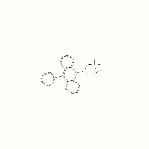 CC1(C)OB(c2c3ccccc3c(-c3ccccc3C#N)c3ccccc23)OC1(C)C